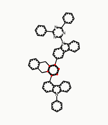 c1ccc(-c2nc(-c3ccccc3)nc(-n3c4ccccc4c4cc(-c5ccc(-c6cccc7c6c6ccccc6n7-c6ccccc6)c6c5C5c7ccccc7C6c6ccccc65)ccc43)n2)cc1